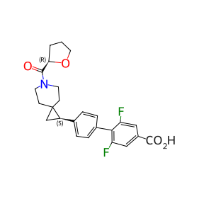 O=C(O)c1cc(F)c(-c2ccc([C@H]3CC34CCN(C(=O)[C@H]3CCCO3)CC4)cc2)c(F)c1